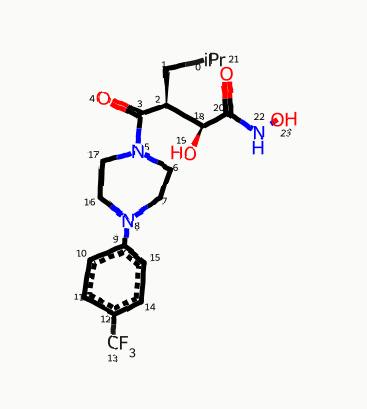 CC(C)C[C@H](C(=O)N1CCN(c2ccc(C(F)(F)F)cc2)CC1)[C@H](O)C(=O)NO